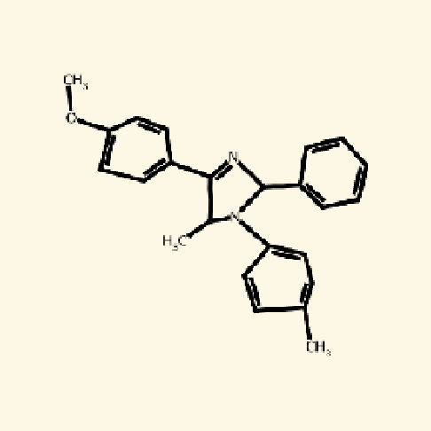 COc1ccc(C2=NC(c3ccccc3)N(c3ccc(C)cc3)C2C)cc1